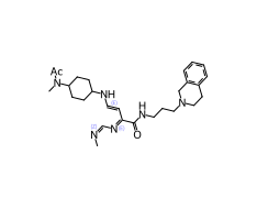 C\N=C/N=C(\C=C\NC1CCC(N(C)C(C)=O)CC1)C(=O)NCCCN1CCc2ccccc2C1